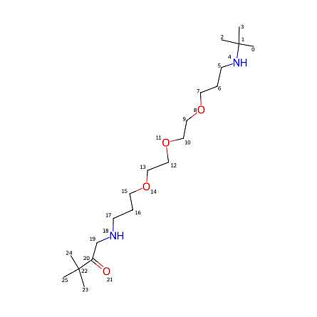 CC(C)(C)NCCCOCCOCCOCCCNCC(=O)C(C)(C)C